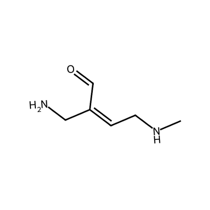 CNC/C=C(\C=O)CN